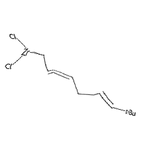 CCCCC=CCC=C[CH2][Zr]([Cl])[Cl]